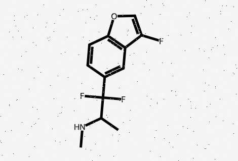 CNC(C)C(F)(F)c1ccc2occ(F)c2c1